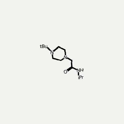 CC(C)NC(=O)CN1CCN(C(C)(C)C)CC1